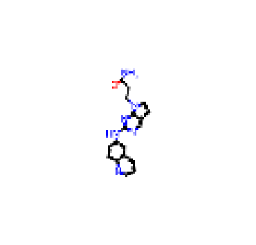 NC(=O)CCn1ccc2cnc(Nc3ccc4ncccc4c3)nc21